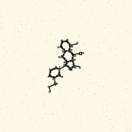 CCOc1cccc(-n2nc(C)c3c(Cl)c4c(C)cccc4nc32)n1